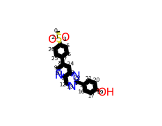 CS(=O)(=O)c1ccc(-c2cnc3cnc(-c4ccc(O)cc4)nc3c2)cc1